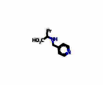 CC(C)C(NCc1ccncc1)C(=O)O